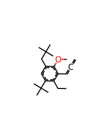 C=C=Cc1c(CC)c(C(C)(C)C)cc(CC(C)(C)C)c1OC